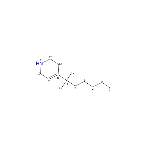 CCCCCC(C)(C)C1=CCNCC1